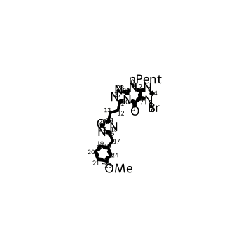 CCCCCn1c2ncn(Br)c2c(=O)n2c(CCc3nc(Cc4cccc(OC)c4)no3)nnc12